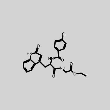 CCOC(=O)CNC(=O)C(Cc1cc(=O)[nH]c2ccccc12)NC(=O)c1ccc(Cl)cc1